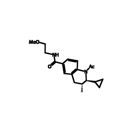 COCCNC(=O)c1ccc2c(c1)C[C@@H](C)[C@H](C1CC1)N2C(C)=O